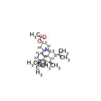 CC(=O)OC1CCN(C(CCC(C)C)CCC(C)C)C(c2ccc(C(C)(C)C)cc2)C1